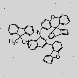 CC1(C)c2ccccc2-c2ccc(N(c3ccc4c(c3)C3(c5ccccc5O4)c4ccccc4-c4ccccc43)c3cc(-c4cccc5oc6ccccc6c45)cc4ccccc34)cc21